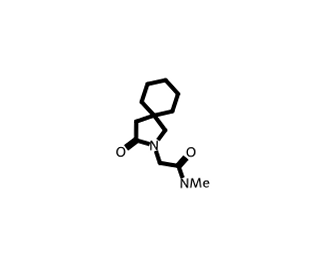 CNC(=O)CN1CC2(CCCCC2)CC1=O